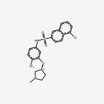 CN1CC[C@H](Oc2cc(NS(=O)(=O)c3ccc4c(Cl)cccc4c3)ccc2C(F)(F)F)C1